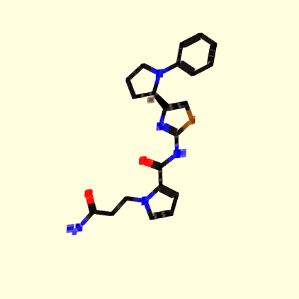 NC(=O)CCn1cccc1C(=O)Nc1nc([C@H]2CCCN2c2ccccc2)cs1